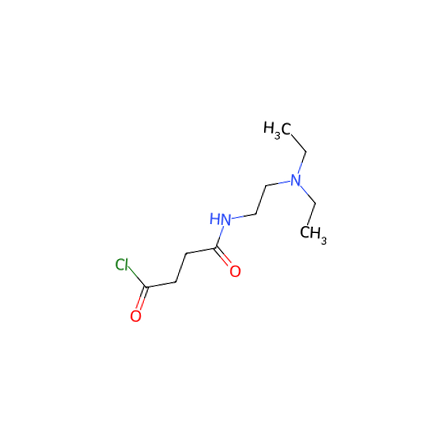 CCN(CC)CCNC(=O)CCC(=O)Cl